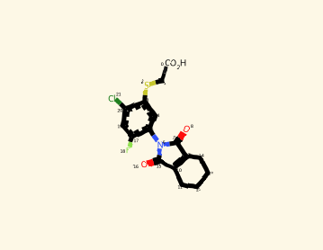 O=C(O)CSc1cc(N2C(=O)C3=C(CCCC3)C2=O)c(F)cc1Cl